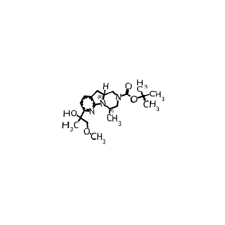 COCC(C)(O)c1ccc2c(n1)N1[C@H](C2)CN(C(=O)OC(C)(C)C)C[C@H]1C